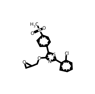 CS(=O)(=O)c1ccc(-c2sc(-c3ccccc3Cl)nc2OCC2CO2)cc1